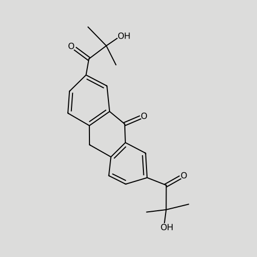 CC(C)(O)C(=O)c1ccc2c(c1)C(=O)c1cc(C(=O)C(C)(C)O)ccc1C2